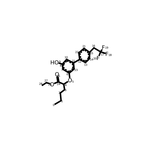 CCCCC(Oc1cc(O)cc(-c2ccc(CC(F)(F)F)cc2)c1)C(=O)OCC